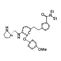 CCN(CC)C(=O)c1cccc(CCc2ccc(NC[C@@H]3CCCN3)c(Oc3ccc(OC)cc3)c2)c1